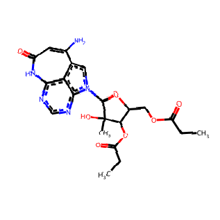 CCC(=O)OCC1OC(n2cc3c4c(ncnc42)NC(=O)C=C3N)C(C)(O)C1OC(=O)CC